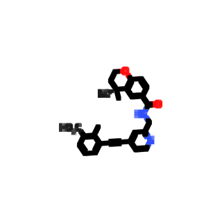 Cc1c(C#Cc2ccnc(CNC(=O)c3ccc4c(c3)[C@](C)(C#N)CCO4)c2)cccc1C(=O)O